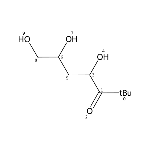 CC(C)(C)C(=O)C(O)CC(O)CO